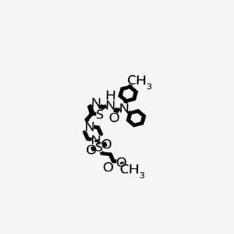 COC(=O)CCS(=O)(=O)N1CCN(Cc2cnc(NC(=O)N(C3CCCCC3)C3CCC(C)CC3)s2)CC1